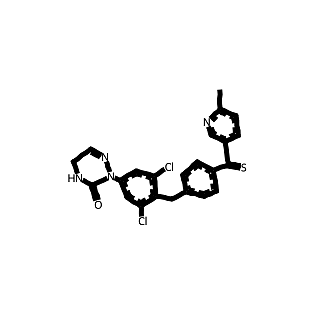 Cc1ccc(C(=S)c2ccc(Cc3c(Cl)cc(N4N=CCNC4=O)cc3Cl)cc2)cn1